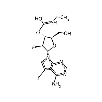 CC[SH]=C(O)O[C@H]1[C@H](F)[C@H](n2cc(I)c3c(N)ncnc32)O[C@@H]1CO